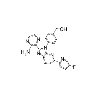 Nc1nccnc1-c1nc2ccc(-c3ccc(F)cn3)nc2n1-c1ccc(CO)cc1